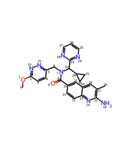 COc1ccc(CN(C(=O)c2ccc3nc(N)c(C)cc3c2)C(c2ncccn2)C2CC2)nn1